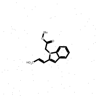 CC(C)(C)OC(=O)Cn1c(/C=C/C(=O)O)cc2ccccc21